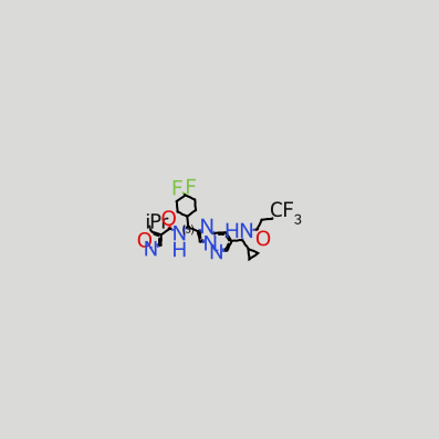 CC(C)c1oncc1C(=O)N[C@H](c1cn2ncc(C(NC(=O)CCC(F)(F)F)C3CC3)cc2n1)C1CCC(F)(F)CC1